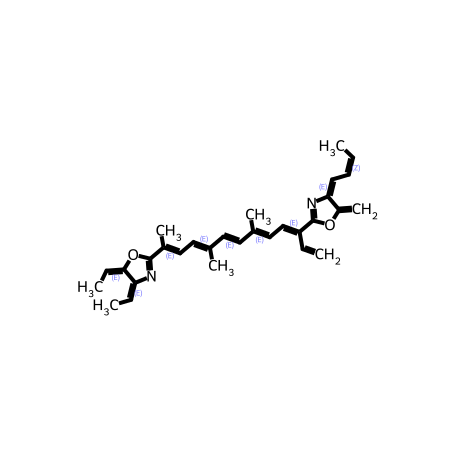 C=C\C(=C/C=C(C)/C=C/C(C)=C/C=C(\C)c1nc(=C/C)/c(=C\C)o1)c1n/c(=C/C=C\C)c(=C)o1